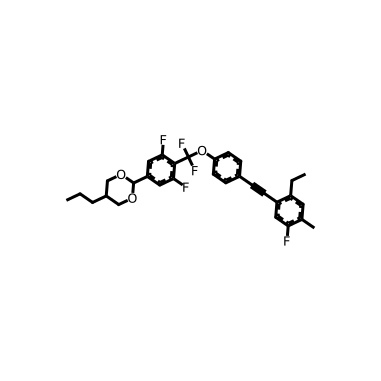 CCCC1COC(c2cc(F)c(C(F)(F)Oc3ccc(C#Cc4cc(F)c(C)cc4CC)cc3)c(F)c2)OC1